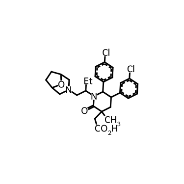 CCC(CN1CC2CCC(C1)O2)N1C(=O)C(C)(CC(=O)O)CC(c2cccc(Cl)c2)C1c1ccc(Cl)cc1